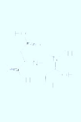 CCC(O)N(C)C.N[C@@H](CC(=O)O)C(=O)O